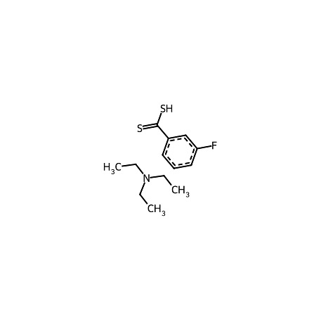 CCN(CC)CC.Fc1cccc(C(=S)S)c1